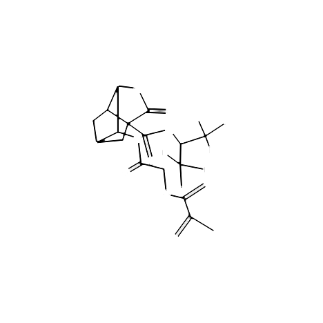 C=C(C)C(=O)OCC(=O)OC1C2CC3C1OC(=O)C3(C(=O)OC(C(F)(F)F)C(F)(F)F)C2